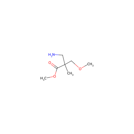 COCC(C)(CN)C(=O)OC